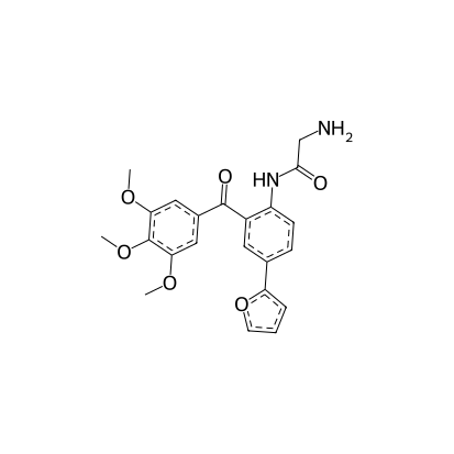 COc1cc(C(=O)c2cc(-c3ccco3)ccc2NC(=O)CN)cc(OC)c1OC